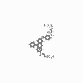 CN(CCS(=O)(=O)O)c1ccc2c(-c3ccccc3S(=O)(=O)O)c3ccc(Nc4cccc(S(=O)(=O)CCOS(=O)(=O)O)c4)cc3cc2c1